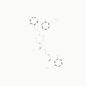 COc1ccc(N(Cc2cnccc2C)C2CCN([C@H](C)CCNC(=O)c3c(C)cccc3C)CC2)cc1